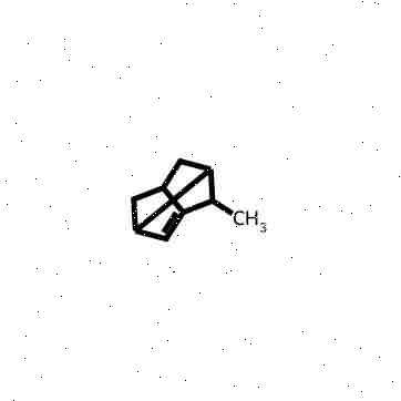 CC1C2=CC3CC2CC31